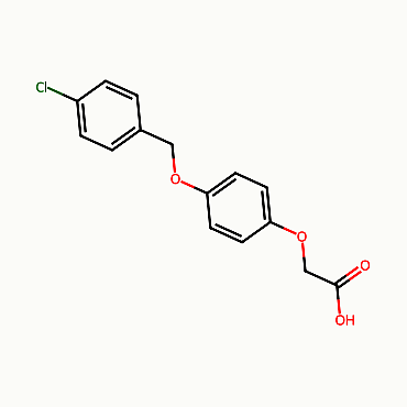 O=C(O)COc1ccc(OCc2ccc(Cl)cc2)cc1